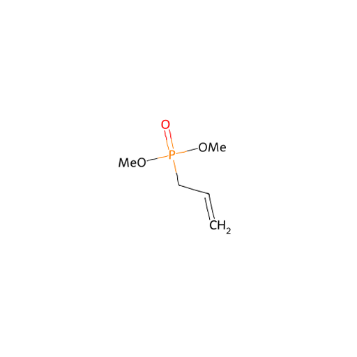 C=CCP(=O)(OC)OC